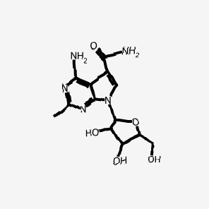 Cc1nc(N)c2c(C(N)=O)cn(C3OC(CO)C(O)C3O)c2n1